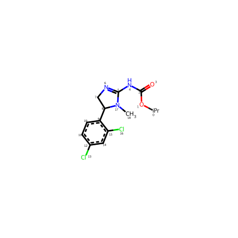 CC(C)OC(=O)NC1=NCC(c2ccc(Cl)cc2Cl)N1C